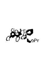 CCC/C=C\C[C@@H]1CO[C@H](c2coc3c(Cl)cc(Cl)cc3c2=O)O[C@@H]1c1ccccc1O